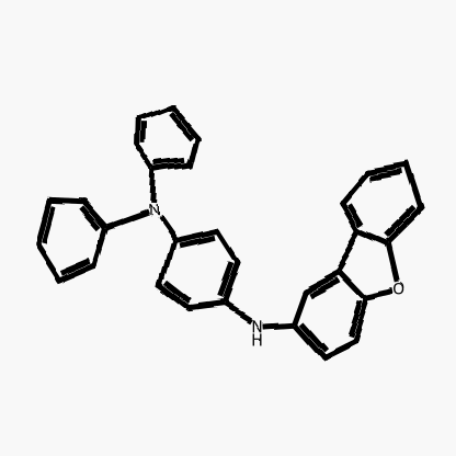 c1ccc(N(c2ccccc2)c2ccc(Nc3ccc4oc5ccccc5c4c3)cc2)cc1